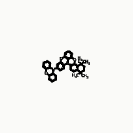 CC1(C)CCC(C)(C)c2c1ccc1c2Oc2cccc3c2B1c1ccc(N2c4ccccc4Oc4ccccc42)cc1O3